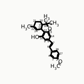 COc1ccc(/C=C/c2cc(O)c3c(c2)OC(C)(C)C2CCC(C)=CC32)cc1